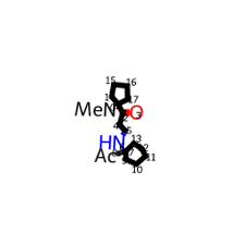 CNC1(C(=O)CCNC2(C(C)=O)CCCCC2)CCCC1